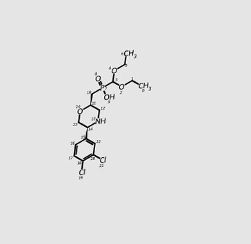 CCOC(OCC)P(=O)(O)C[C@H]1CN[C@@H](c2ccc(Cl)c(Cl)c2)CO1